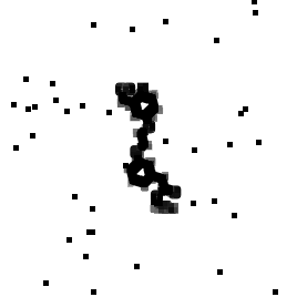 CCCCOC(=O)Cc1cccc(OCCOc2cccc(CC(=O)O)c2)c1